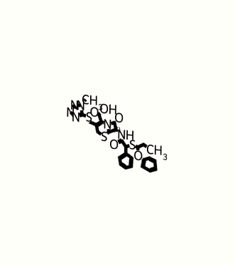 CCC(Oc1ccccc1)SC(C(=O)N[C@H]1C(=O)N2C(C(=O)O)=C(CSc3nnnn3C)CSC12)c1ccccc1